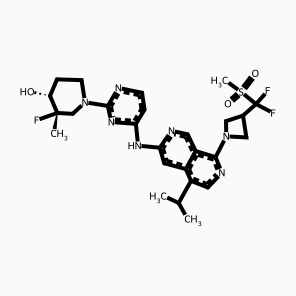 CC(C)c1cnc(N2CC(C(F)(F)S(C)(=O)=O)C2)c2cnc(Nc3ccnc(N4CC[C@@H](O)[C@@](C)(F)C4)n3)cc12